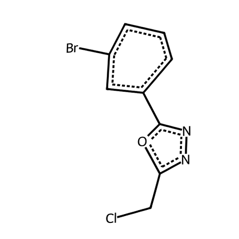 ClCc1nnc(-c2cccc(Br)c2)o1